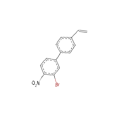 C=Cc1ccc(-c2ccc([N+](=O)[O-])c(Br)c2)cc1